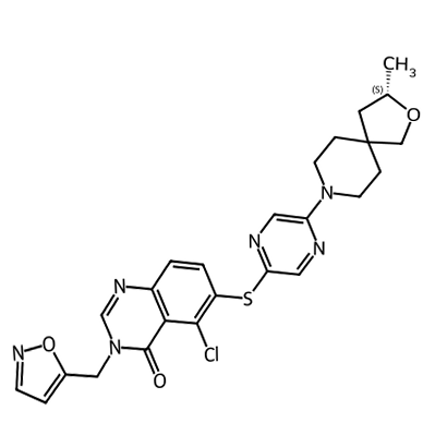 C[C@H]1CC2(CCN(c3cnc(Sc4ccc5ncn(Cc6ccno6)c(=O)c5c4Cl)cn3)CC2)CO1